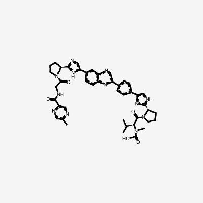 Cc1cnc(C(=O)NCC(=O)N2CCC[C@H]2c2ncc(-c3ccc4nc(-c5ccc(-c6c[nH]c([C@@H]7CCCN7C(=O)[C@H](C(C)C)N(C)C(=O)O)n6)cc5)cnc4c3)[nH]2)cn1